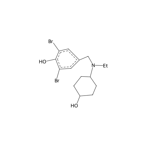 CCN(Cc1cc(Br)c(O)c(Br)c1)C1CCC(O)CC1